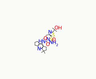 COCc1nc(C(C)(C)O)sc1[S@@](N)(=O)=NC(=O)Nc1c2c(nc3c1CCC3(C)C)CCC2